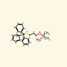 C[Si](C)(C)OCCCSC(c1ccccc1)(c1ccccc1)c1ccccc1